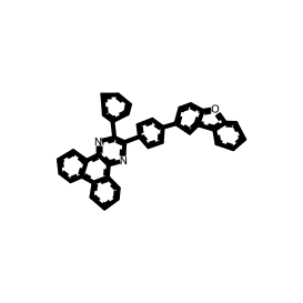 c1ccc(-c2nc3c4ccccc4c4ccccc4c3nc2-c2ccc(-c3ccc4oc5ccccc5c4c3)cc2)cc1